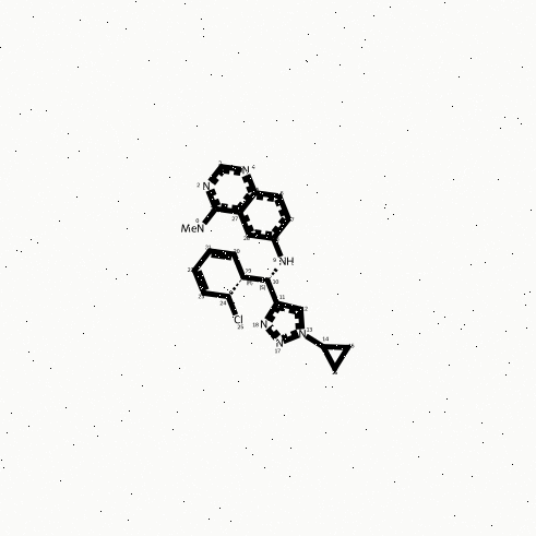 CNc1ncnc2ccc(N[C@H](c3cn(C4CC4)nn3)[C@H]3C=CC=CC3Cl)cc12